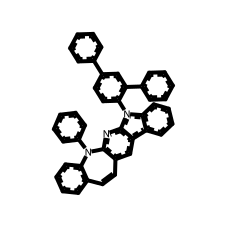 C1=Cc2cc3c4ccccc4n(-c4ccc(-c5ccccc5)cc4-c4ccccc4)c3nc2N(c2ccccc2)c2ccccc21